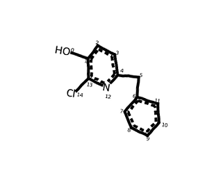 Oc1ccc(Cc2ccccc2)nc1Cl